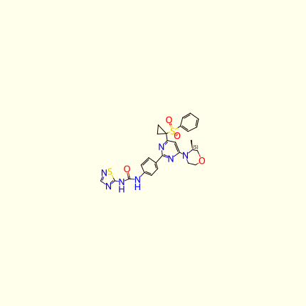 C[C@H]1COCCN1c1cc(C2(S(=O)(=O)c3ccccc3)CC2)nc(-c2ccc(NC(=O)Nc3ncns3)cc2)n1